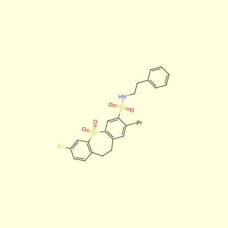 CC(C)c1cc2c(cc1S(=O)(=O)NCCc1ccccc1)S(=O)(=O)c1cc(F)ccc1CC2